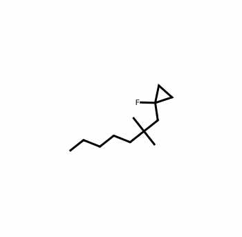 CCCCCC(C)(C)CC1(F)CC1